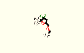 C=COCC1CC(F)(F)C(C)(C(F)(F)F)O1